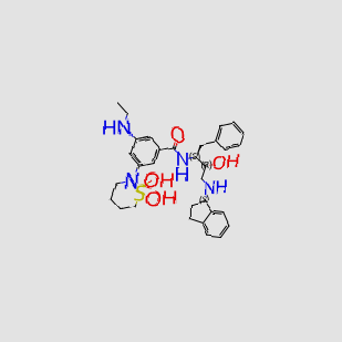 CCNc1cc(C(=O)N[C@@H](Cc2ccccc2)[C@H](O)CN[C@H]2CCc3ccccc32)cc(N2CCCCS2(O)O)c1